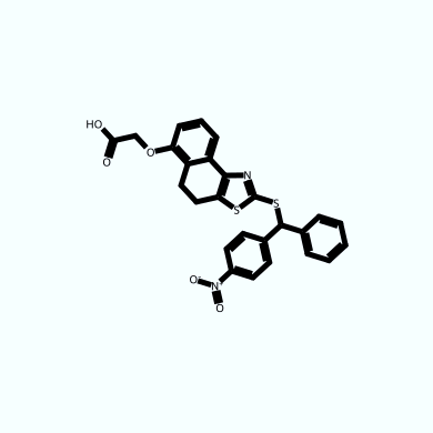 O=C(O)COc1cccc2c1CCc1sc(SC(c3ccccc3)c3ccc([N+](=O)[O-])cc3)nc1-2